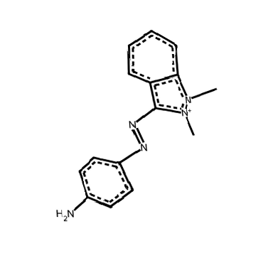 Cn1c2ccccc2c(N=Nc2ccc(N)cc2)[n+]1C